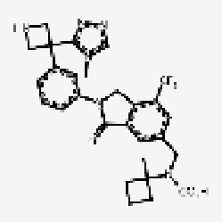 Cn1cnnc1C1(c2cccc(N3Cc4c(cc(CN(C(=O)O)C5(C)CCC5)cc4C(F)(F)F)C3=O)c2)CNC1